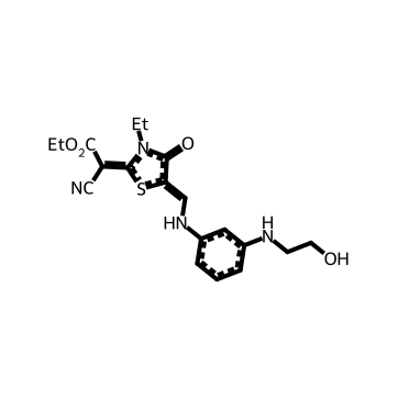 CCOC(=O)C(C#N)=c1sc(=CNc2cccc(NCCO)c2)c(=O)n1CC